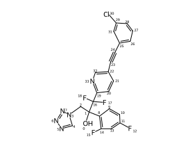 OC(Cn1cnnn1)(c1ccc(F)cc1F)C(F)(F)c1ccc(C#Cc2cccc(Cl)c2)cn1